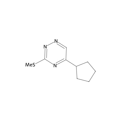 CSc1nncc(C2CCCC2)n1